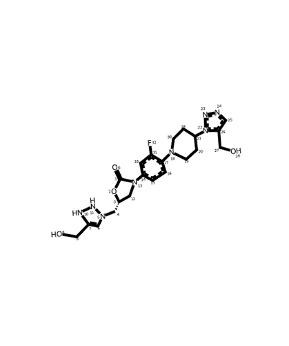 O=C1O[C@@H](CN2C=C(CO)NN2)CN1c1ccc(N2CCC(n3nncc3CO)CC2)c(F)c1